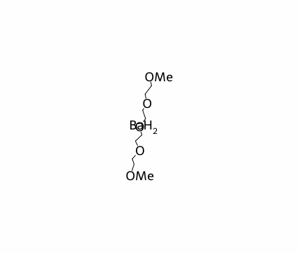 COCCOCCOCCOCCOC.[BaH2]